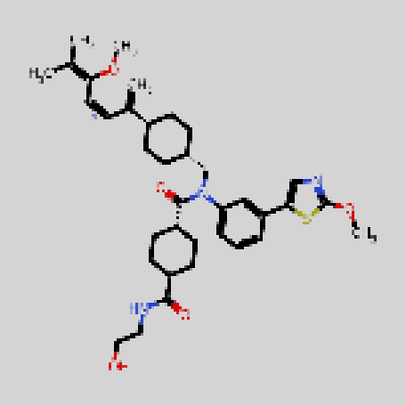 C=C(/C=C\C(OC)=C(C)C)[C@H]1CC[C@H](CN(c2cccc(-c3cnc(OC)s3)c2)C(=O)[C@H]2CC[C@H](C(=O)NCCO)CC2)CC1